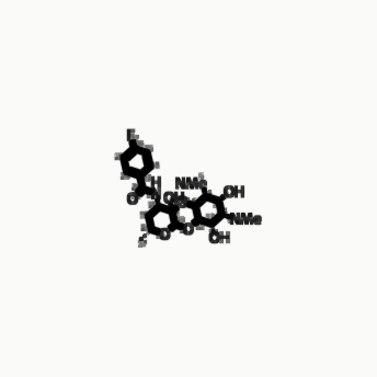 CN[C@@H]1[C@H](O)[C@H](NC)C2O[C@]3(O)C(OC2[C@H]1O)O[C@H](C)C[C@H]3NC(=O)c1ccc(F)cc1